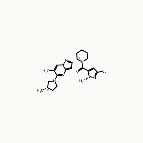 CCc1cc(C(=O)N2CCCC[C@H]2c2cc3nc(N4CC[C@H](C)C4)c(C)cn3n2)n(C)n1